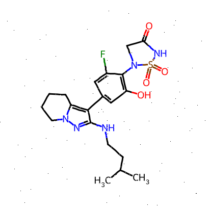 CC(C)CCNc1nn2c(c1-c1cc(O)c(N3CC(=O)NS3(=O)=O)c(F)c1)CCCC2